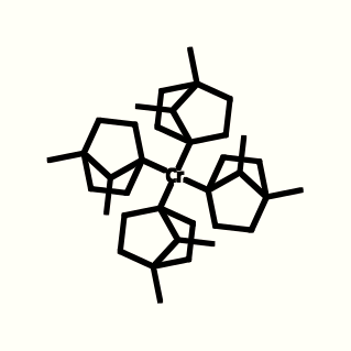 CC1C2(C)CC[C]1([Cr]([C]13CCC(C)(CC1)C3C)([C]13CCC(C)(CC1)C3C)[C]13CCC(C)(CC1)C3C)CC2